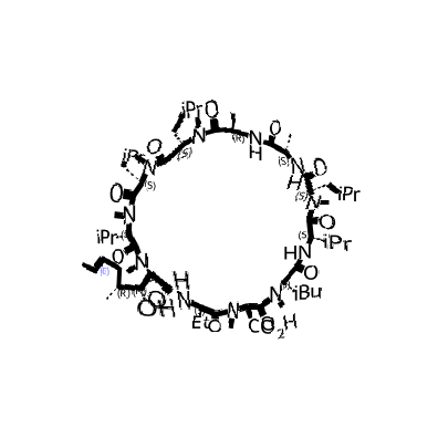 C/C=C/C[C@@H](C)[C@@H](O)[C@H]1C(=O)N[C@@H](CC)C(=O)N(C)C(C(=O)O)C(=O)N(C)[C@@H](C(C)CC)C(=O)N[C@@H](C(C)C)C(=O)N(C)[C@@H](CC(C)C)C(=O)N[C@@H](C)C(=O)N[C@H](C)C(=O)N(C)[C@@H](CC(C)C)C(=O)N(C)[C@@H](CC(C)C)C(=O)N(C)[C@@H](C(C)C)C(=O)N1C